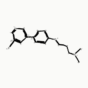 CN(C)CCCOc1ccc(-c2cncc(F)c2)cc1